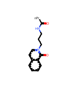 CCCC(=O)NCCCn1ccc2ccccc2c1=O